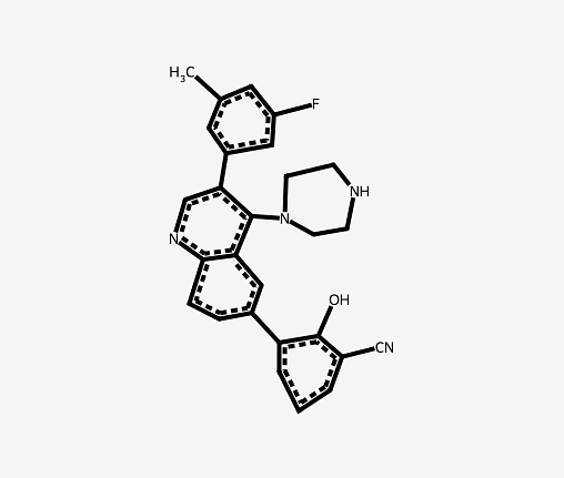 Cc1cc(F)cc(-c2cnc3ccc(-c4cccc(C#N)c4O)cc3c2N2CCNCC2)c1